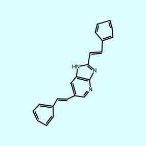 C(=Cc1cnc2nc(C=Cc3ccccc3)[nH]c2c1)c1ccccc1